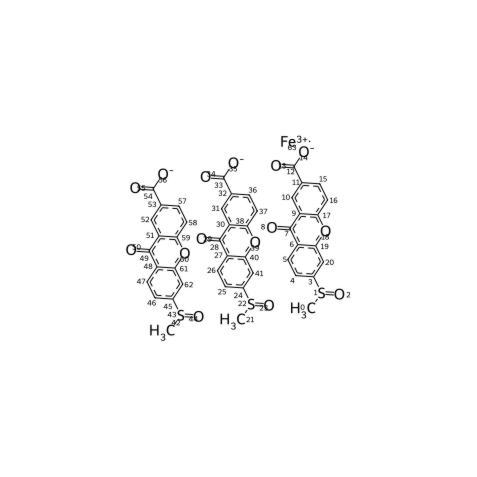 CS(=O)c1ccc2c(=O)c3cc(C(=O)[O-])ccc3oc2c1.CS(=O)c1ccc2c(=O)c3cc(C(=O)[O-])ccc3oc2c1.CS(=O)c1ccc2c(=O)c3cc(C(=O)[O-])ccc3oc2c1.[Fe+3]